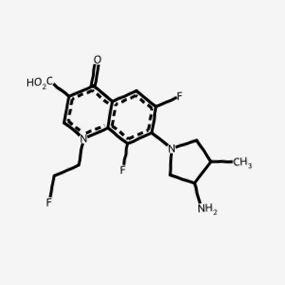 CC1CN(c2c(F)cc3c(=O)c(C(=O)O)cn(CCF)c3c2F)CC1N